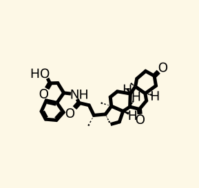 C[C@H](CC(=O)NC(CC(=O)O)c1ccccc1)[C@H]1CC[C@H]2[C@@H]3C(=O)C[C@@H]4CC(=O)CC[C@]4(C)[C@H]3CC[C@]12C